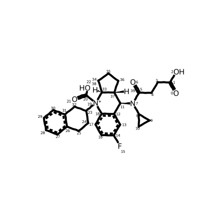 O=C(O)CCC(=O)N(C1CC1)[C@H]1c2cc(F)ccc2[N+](C(=O)O)(C2CCc3ccccc3C2)[C@H]2CCC[C@H]12